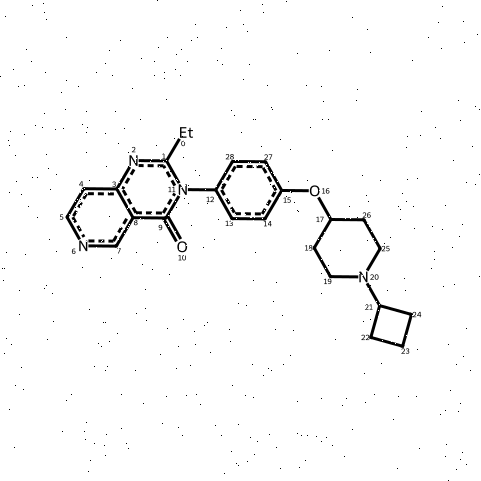 CCc1nc2ccncc2c(=O)n1-c1ccc(OC2CCN(C3CCC3)CC2)cc1